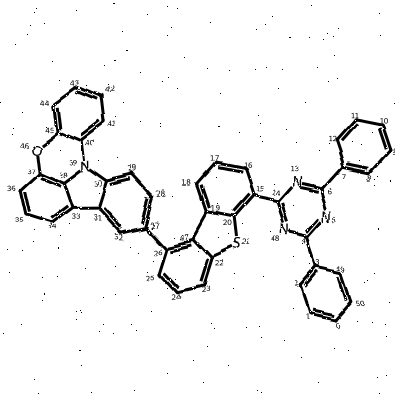 c1ccc(-c2nc(-c3ccccc3)nc(-c3cccc4c3sc3cccc(-c5ccc6c(c5)c5cccc7c5n6-c5ccccc5O7)c34)n2)cc1